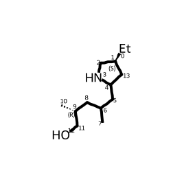 CC[C@@H]1CNC(CC(C)C[C@@H](C)CO)C1